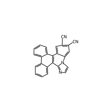 N#Cc1cc2c3c4ccccc4c4ccccc4c3c3nccn3c2cc1C#N